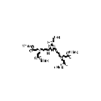 CCCCCCOC(=O)CCN(CCCNc1nc(NCCO)nc(NCCCN(CCC(=O)OCCCCCC)CCC(=O)OCCCCCC)n1)CCC(=O)OCCCCCC